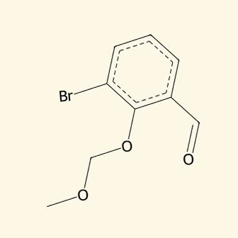 COCOc1c(Br)cccc1C=O